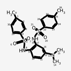 Cc1ccc(S(=O)(=O)Nc2ccc(N(C)C)cc2NS(=O)(=O)c2ccc(C)cc2)cc1